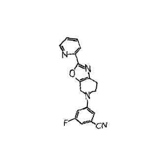 N#Cc1cc(F)cc(N2CCc3nc(-c4ccccn4)oc3C2)c1